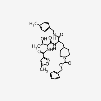 Cc1ccc(CNC(=O)C(CC2CCN(C(=O)OCc3ccccc3)CC2)NC(=O)C(NC(=O)c2cc(C)on2)C(C)O)cc1